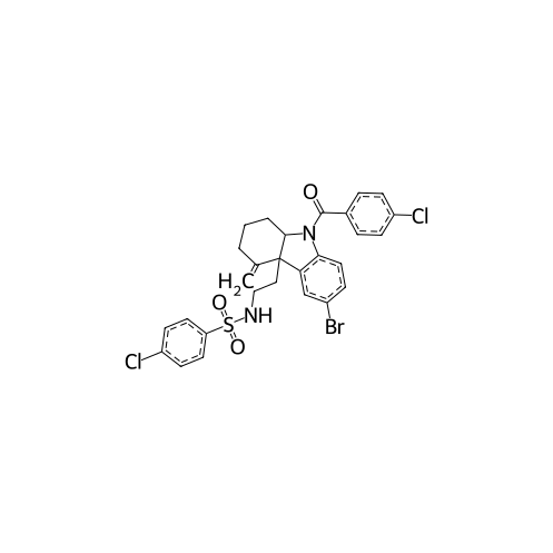 C=C1CCCC2N(C(=O)c3ccc(Cl)cc3)c3ccc(Br)cc3C12CCNS(=O)(=O)c1ccc(Cl)cc1